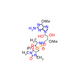 COc1nc(N)nc2c1ncn2C(O)[C@H](O)[C@@H](CO[P@@](=O)(N[C@H](C)C(=O)OC(C)C)SC[C@@H]1C(=O)N(C)C(=O)N1C)OC